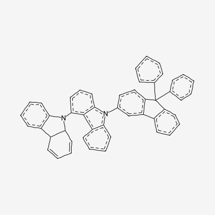 C1=CC2c3ccccc3N(c3cccc4c3c3ccccc3n4-c3ccc4c(c3)-c3ccccc3C4(c3ccccc3)c3ccccc3)C2C=C1